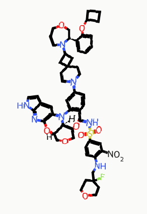 O=C(NS(=O)(=O)c1ccc(NCC2(F)CCOCC2)c([N+](=O)[O-])c1)c1ccc(N2CCC3(CC2)CC(N2CCCOC[C@H]2c2ccccc2OC2CCC2)C3)cc1N1c2cc3cc[nH]c3nc2O[C@H]2COCC[C@@H]21